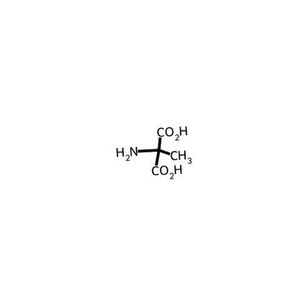 CC(N)(C(=O)O)C(=O)O